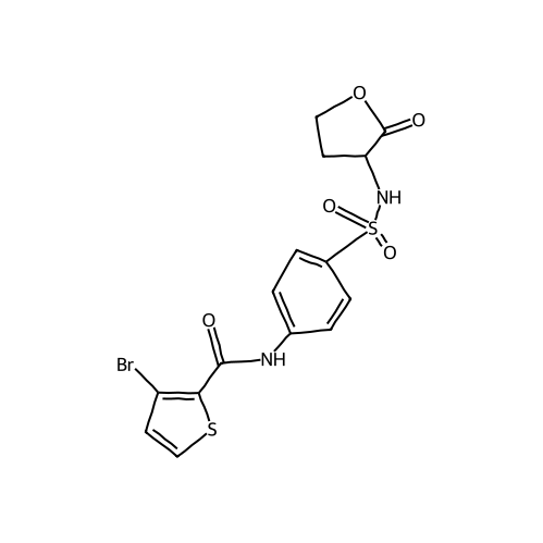 O=C(Nc1ccc(S(=O)(=O)NC2CCOC2=O)cc1)c1sccc1Br